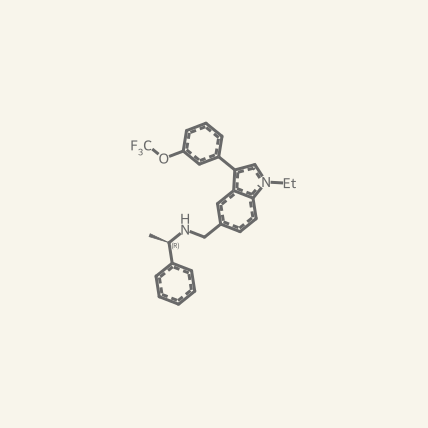 CCn1cc(-c2cccc(OC(F)(F)F)c2)c2cc(CN[C@H](C)c3ccccc3)ccc21